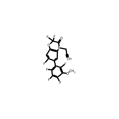 C#CCN1C(=O)C(F)(F)Oc2cc(F)c(-c3c(F)c(F)c(F)c(OC)c3F)cc21